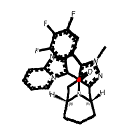 Cc1nc2ccccn2c1C(=O)N1[C@@H]2CCC[C@H]1c1nn(C)c(-c3cc(F)c(F)c(F)c3)c1C2